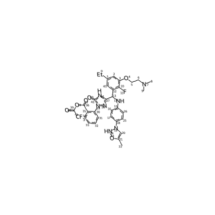 CCc1cc(OCCN(C)C)c(F)c(C(Nc2ccc(N3C=C(C)ON3)cc2)c2nn(-c3ccccc3C(=O)OC(=O)C(F)(F)F)c(=O)[nH]2)c1